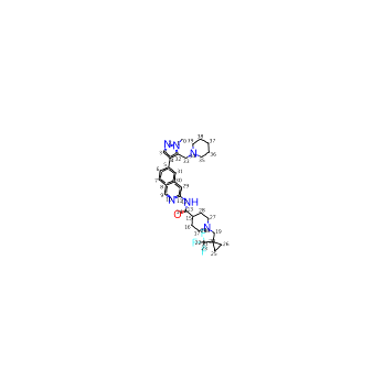 Cn1ncc(-c2ccc3cnc(NC(=O)C4CCN(CC5(C(F)(F)F)CC5)CC4)cc3c2)c1CN1CCCCC1